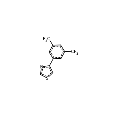 FC(F)(F)c1cc(-c2cs[c]n2)cc(C(F)(F)F)c1